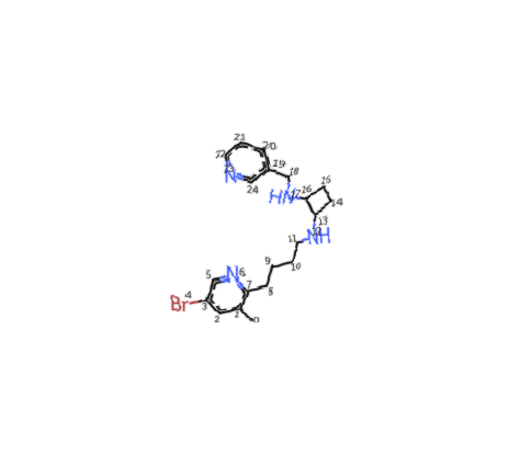 Cc1cc(Br)cnc1CCCCNC1CCC1NCc1cccnc1